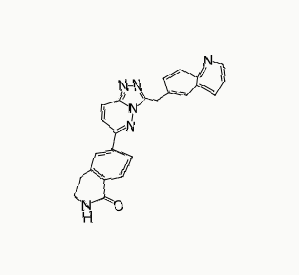 O=C1NCCc2cc(-c3ccc4nnc(Cc5ccc6ncccc6c5)n4n3)ccc21